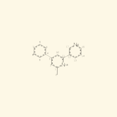 Cc1cc(-c2ccccc2)cc(-c2cccnc2)n1